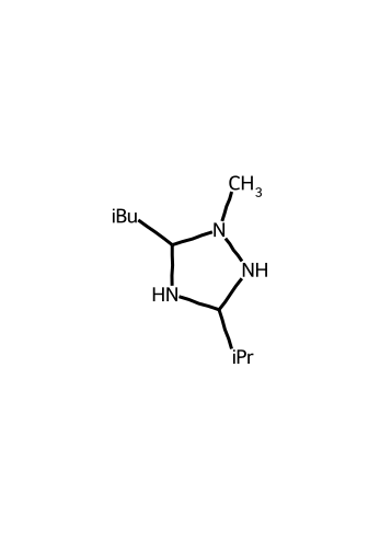 CCC(C)C1NC(C(C)C)NN1C